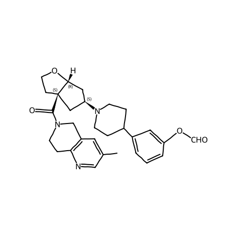 Cc1cnc2c(c1)CN(C(=O)[C@@]13CCO[C@@H]1C[C@@H](N1CCC(c4cccc(OC=O)c4)CC1)C3)CC2